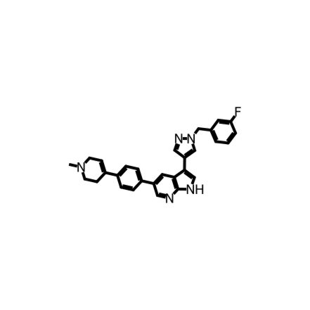 CN1CC=C(c2ccc(-c3cnc4[nH]cc(-c5cnn(Cc6cccc(F)c6)c5)c4c3)cc2)CC1